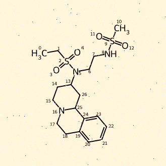 CCS(=O)(=O)N(CCNS(C)(=O)=O)C1CCN2CCc3ccccc3C2C1